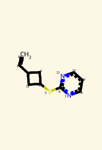 C=CC1CC(Sc2ncccn2)C1